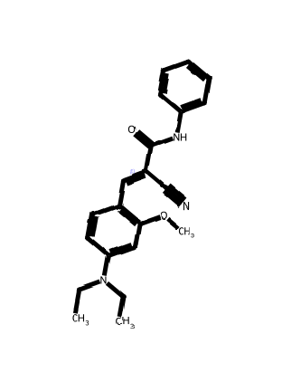 CCN(CC)c1ccc(/C=C(\C#N)C(=O)Nc2ccccc2)c(OC)c1